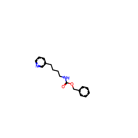 O=C(NCCCCc1cccnc1)OCc1ccccc1